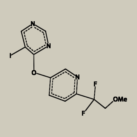 COCC(F)(F)c1ccc(Oc2ncncc2I)cn1